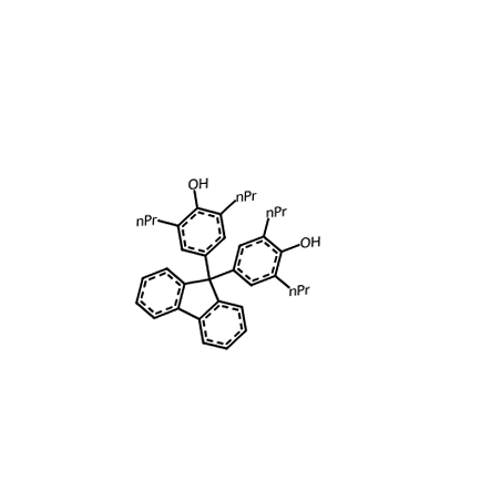 CCCc1cc(C2(c3cc(CCC)c(O)c(CCC)c3)c3ccccc3-c3ccccc32)cc(CCC)c1O